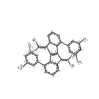 Cc1cc(-c2cccc3c2C2=C(C3=C(C#N)C#N)c3c(cccc3-c3cc(C(F)(F)F)cc(C(F)(F)F)c3)C2=C(C#N)C#N)cc(C(F)(F)F)c1